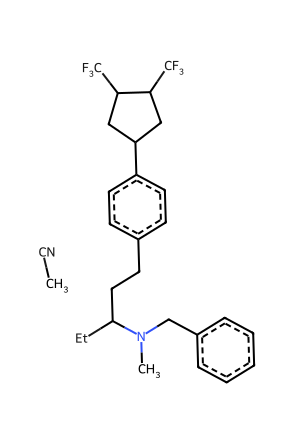 CC#N.CCC(CCc1ccc(C2CC(C(F)(F)F)C(C(F)(F)F)C2)cc1)N(C)Cc1ccccc1